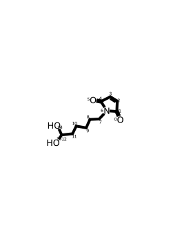 O=C1C=CC(=O)N1CCCCCC(O)O